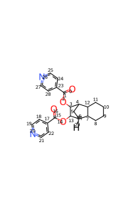 O=C(OC1C2C[C@H](C3CCCCC23)C1OC(=O)c1ccncc1)c1ccncc1